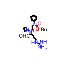 CC(C)(C)OC(=O)N(CC(=O)N([C@H](C=O)CCCNC(=N)N)N1CCC1)c1ccccc1